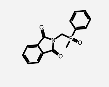 CP(=O)(CN1C(=O)c2ccccc2C1=O)c1ccccc1